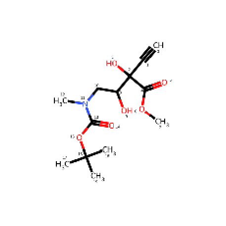 C#CC(O)(C(=O)OC)C(O)CN(C)C(=O)OC(C)(C)C